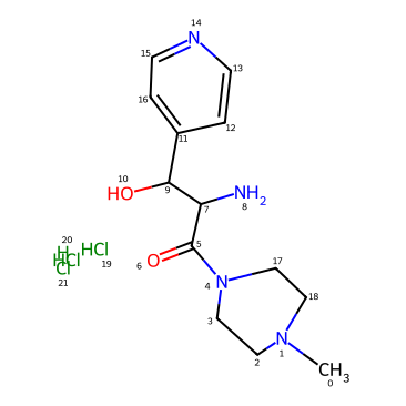 CN1CCN(C(=O)C(N)C(O)c2ccncc2)CC1.Cl.Cl.Cl